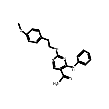 COc1ccc(CCNc2ncc(C(N)=O)c(Nc3ccccc3)n2)cc1